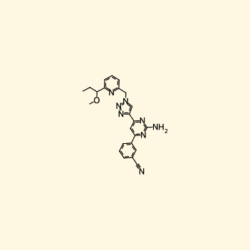 CCC(OC)c1cccc(Cn2cc(-c3cc(-c4cccc(C#N)c4)nc(N)n3)nn2)n1